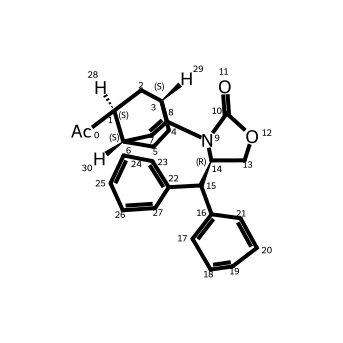 CC(=O)[C@H]1C[C@@H]2CC[C@H]1C=C2N1C(=O)OC[C@H]1C(c1ccccc1)c1ccccc1